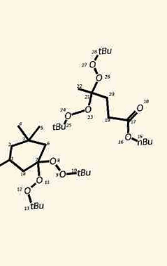 CC1CC(C)(C)CC(OOC(C)(C)C)(OOC(C)(C)C)C1.CCCCOC(=O)CCC(C)(OOC(C)(C)C)OOC(C)(C)C